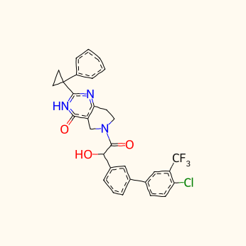 O=C(C(O)c1cccc(-c2ccc(Cl)c(C(F)(F)F)c2)c1)N1CCc2nc(C3(c4ccccc4)CC3)[nH]c(=O)c2C1